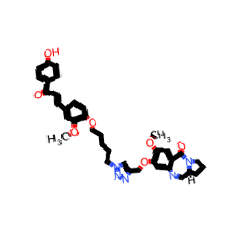 COc1cc(/C=C/C(=O)c2ccc(O)cc2)ccc1OCCCCCn1cc(COc2cc3c(cc2OC)C(=O)N2CCC[C@H]2C=N3)nn1